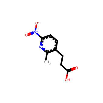 Cc1nc([N+](=O)[O-])ccc1CCC(=O)O